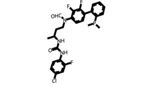 CC(CCN(C=O)c1ccc(-c2ccccc2P(C)C)c(F)c1F)NC(=O)Nc1ccc(Cl)cc1F